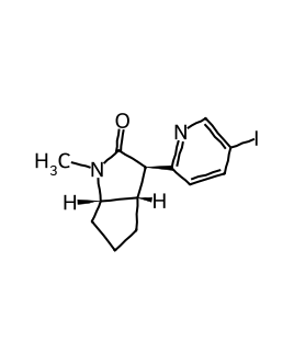 CN1C(=O)[C@@H](c2ccc(I)cn2)[C@@H]2CCC[C@@H]21